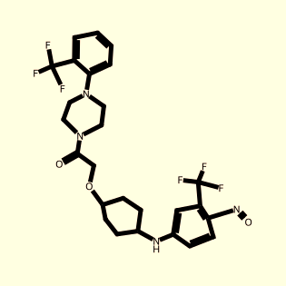 O=Nc1ccc(NC2CCC(OCC(=O)N3CCN(c4ccccc4C(F)(F)F)CC3)CC2)cc1C(F)(F)F